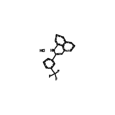 Cl.FC(F)(F)c1cccc(C2=Cc3cccc4cccc(c34)N2)c1